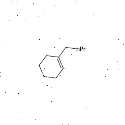 CCCCC1=[C]CCCC1